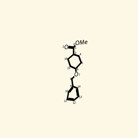 COC(=O)C1CCC(OCc2ccccc2)CC1